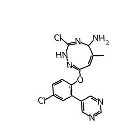 C/C1=C/C(Oc2ccc(Cl)cc2-c2cncnc2)=N\N/C(Cl)=N\C1N